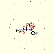 CC(=O)c1ccc2c(c1)C(NC(=O)c1cccc(F)c1)C(O)C(C)(C)O2